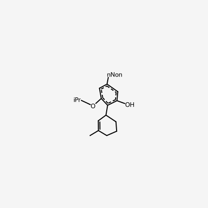 CCCCCCCCCc1cc(O)c(C2C=C(C)CCC2)c(OC(C)C)c1